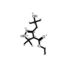 CCOC(=O)C1C(CC(C)(C)O)=NNC1(C)C